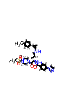 Cc1ccc([C@@H]2C[C@H]2NCCC[C@H](NC(=O)c2ccc(-n3ccnn3)cc2)C(=O)N2CCN(S(C)(=O)=O)CC2)cc1